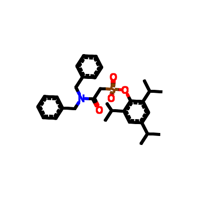 CC(C)c1cc(C(C)C)c(OS(=O)(=O)CC(=O)N(Cc2ccccc2)Cc2ccccc2)c(C(C)C)c1